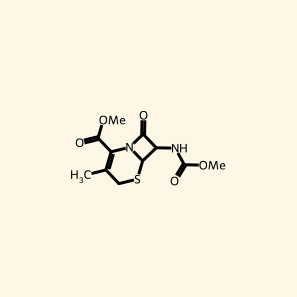 COC(=O)NC1C(=O)N2C(C(=O)OC)=C(C)CSC12